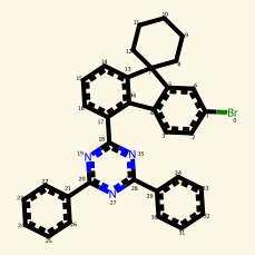 Brc1ccc2c(c1)C1(CCCCC1)c1cccc(-c3nc(-c4ccccc4)nc(-c4ccccc4)n3)c1-2